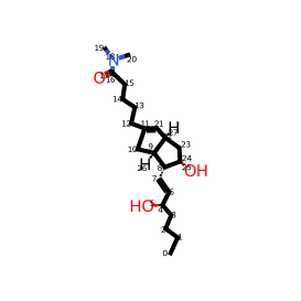 CCCC[C@@H](O)/C=C/[C@@H]1[C@H]2CC(CCCCC(=O)N(C)C)=C[C@H]2C[C@H]1O